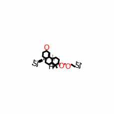 CC1(C)[C@H](OCOCC[Si](C)(C)C)CC[C@]2(C)C3=CC(=O)CC[C@]3(C#C[Si](C)(C)C)CC[C@@H]12